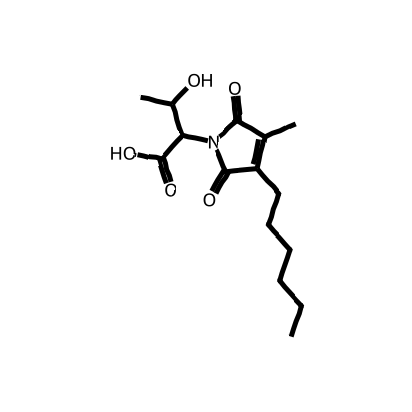 CCCCCCC1=C(C)C(=O)N(C(C(=O)O)C(C)O)C1=O